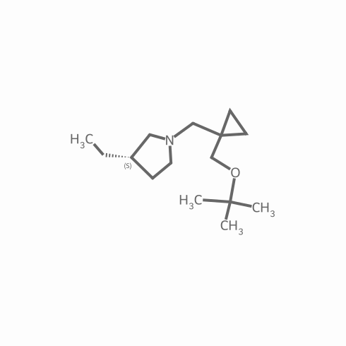 CC[C@H]1CCN(CC2(COC(C)(C)C)CC2)C1